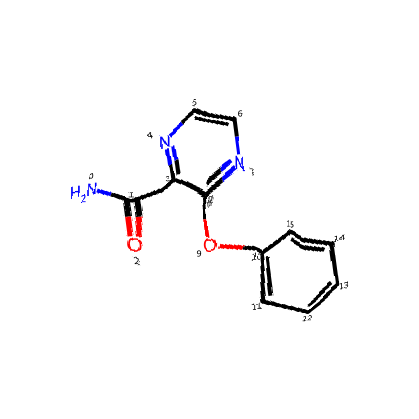 NC(=O)c1nccnc1Oc1ccccc1